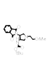 COCCN1CC(N2C(=O)c3ccccc3C2=O)[C@H](NC(=O)OC(C)(C)C)C1